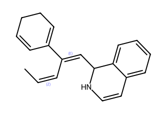 C/C=C\C(=C/C1NC=Cc2ccccc21)C1=CCCC=C1